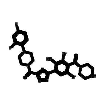 O=C(c1nc(-c2cc(Br)c(C(=O)N3CCNCC3)c(Br)c2O)no1)N1CCN(c2ccc(F)cc2F)CC1